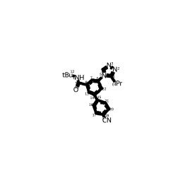 CC(C)c1nncn1-c1cc(C(=O)NC(C)(C)C)cc(-c2ccc(C#N)cc2)c1